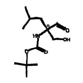 CC(C)C[C@@]([C]=O)(CO)NC(=O)OC(C)(C)C